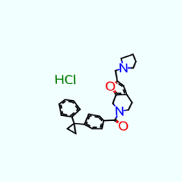 Cl.O=C(c1ccc(C2(c3ccccc3)CC2)cc1)N1CCc2cc(CN3CCCC3)oc2C1